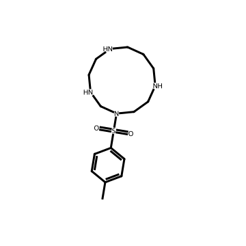 Cc1ccc(S(=O)(=O)N2CCNCCCNCCNC2)cc1